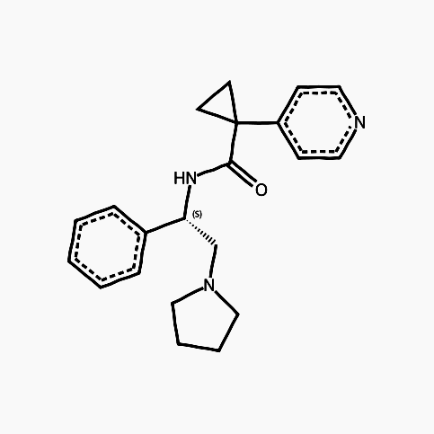 O=C(N[C@H](CN1CCCC1)c1ccccc1)C1(c2ccncc2)CC1